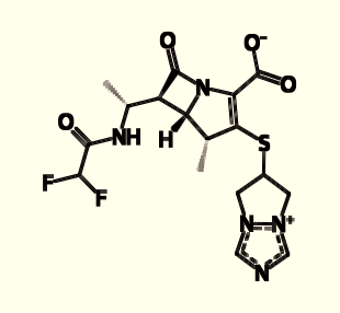 C[C@@H](NC(=O)C(F)F)[C@H]1C(=O)N2C(C(=O)[O-])=C(SC3Cn4cnc[n+]4C3)[C@H](C)[C@H]12